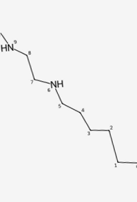 [CH2]CCCCCNCCNC